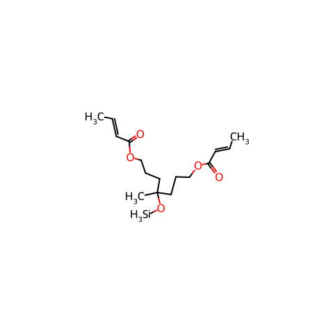 CC=CC(=O)OCCCC(C)(CCCOC(=O)C=CC)O[SiH3]